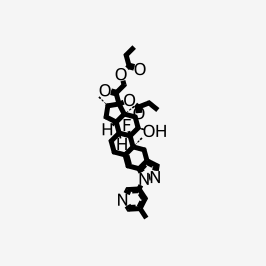 CCC(=O)OCC(=O)C1(OC(=O)CC)[C@@H](C)C[C@H]2[C@@H]3CCC4=Cc5c(cnn5-c5cncc(C)c5)C[C@]4(C)[C@@]3(F)[C@@H](O)C[C@@]21C